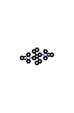 c1ccc2c(c1)C[Si]1(C2)c2ccccc2N(c2ccc3c(-c4cccc5ccccc45)c4cc(N5c6ccccc6[Si]6(Cc7ccccc7C6)c6ccccc65)ccc4c(-c4cccc5ccccc45)c3c2)c2ccccc21